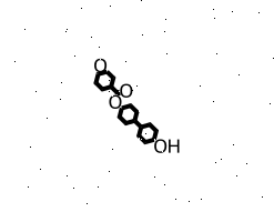 O=C(OC1CCC(C2CCC(O)CC2)CC1)C1CCC2OC2C1